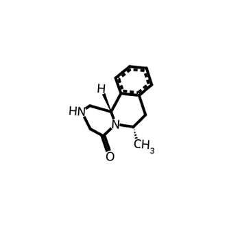 C[C@H]1Cc2ccccc2[C@H]2CNCC(=O)N21